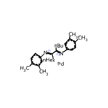 CCCCCCC(=N\c1ccc(C)c(C)c1)/C(CCCC)=N/c1ccc(C)c(C)c1.[Pd]